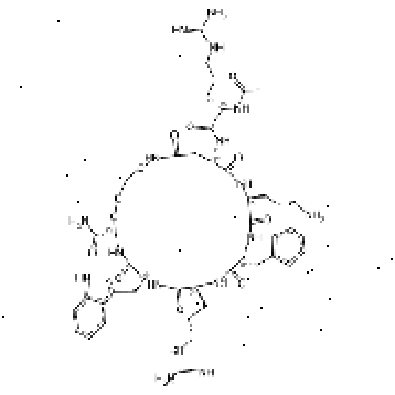 CC(=O)N[C@@H](CCCNC(=N)N)C(=O)N[C@H]1CC(=O)NCCCC[C@@H](C(N)=O)NC(=O)[C@H](Cc2c[nH]c3ccccc23)NC(=O)[C@H](CCCNC(=N)N)NC(=O)[C@@H](Cc2ccccc2)NC(=O)[C@H](CCCN)NC1=O